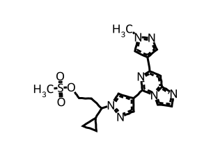 Cn1cc(-c2cc3nccn3c(-c3cnn(C(CCOS(C)(=O)=O)C4CC4)c3)n2)cn1